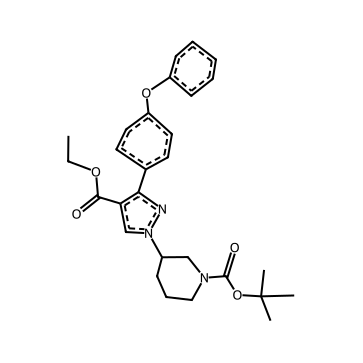 CCOC(=O)c1cn(C2CCCN(C(=O)OC(C)(C)C)C2)nc1-c1ccc(Oc2ccccc2)cc1